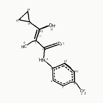 N#C/C(C(=O)Nc1ccc(C(F)(F)F)cc1)=C(/O)C1CC1